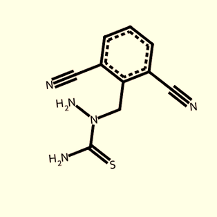 N#Cc1cccc(C#N)c1CN(N)C(N)=S